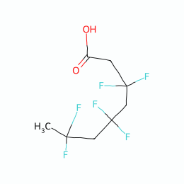 CC(F)(F)CC(F)(F)CC(F)(F)CC(=O)O